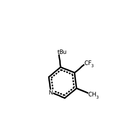 Cc1cncc(C(C)(C)C)c1C(F)(F)F